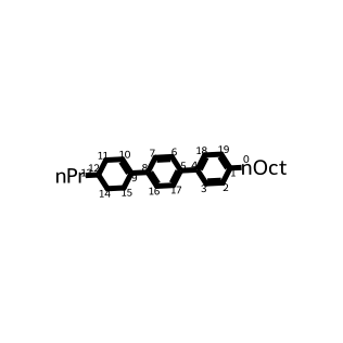 CCCCCCCCc1ccc(-c2ccc(C3=CCC(CCC)CC3)cc2)cc1